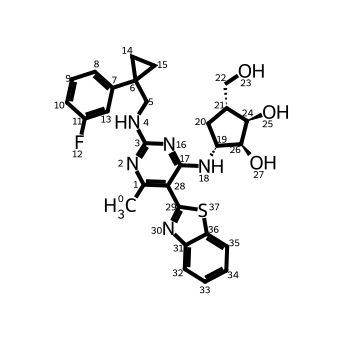 Cc1nc(NCC2(c3cccc(F)c3)CC2)nc(N[C@@H]2C[C@H](CO)[C@@H](O)[C@H]2O)c1-c1nc2ccccc2s1